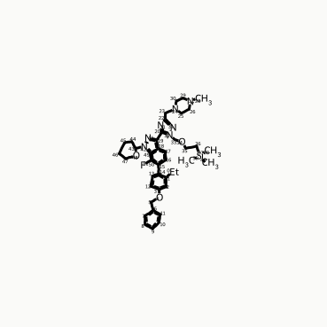 CCc1cc(OCc2ccccc2)ccc1-c1ccc2c(-c3nc(CN4CCN(C)CC4)nn3COCC[Si](C)(C)C)nn(C3CCCCO3)c2c1F